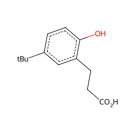 CC(C)(C)c1ccc(O)c(CCC(=O)O)c1